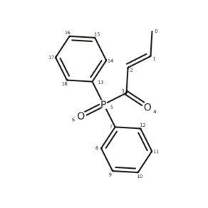 CC=CC(=O)P(=O)(c1ccccc1)c1ccccc1